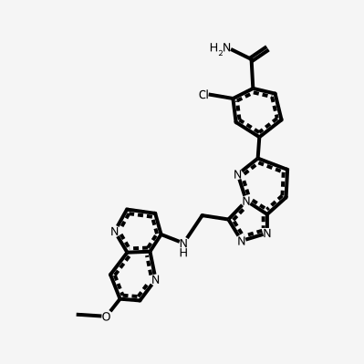 C=C(N)c1ccc(-c2ccc3nnc(CNc4ccnc5cc(OC)cnc45)n3n2)cc1Cl